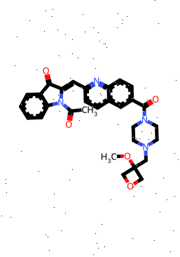 COC1(CN2CCN(C(=O)c3ccc4nc(/C=C5/C(=O)c6ccccc6N5C(C)=O)ccc4c3)CC2)COC1